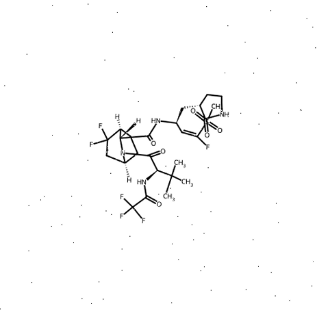 CC(C)(C)[C@@H](NC(=O)C(F)(F)F)C(=O)N1[C@H]2CC[C@@H]([C@@H]1C(=O)N[C@H](/C=C(/F)S(C)(=O)=O)C[C@@H]1CCNC1=O)C(F)(F)C2